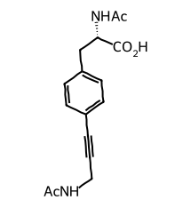 CC(=O)NCC#Cc1ccc(C[C@H](NC(C)=O)C(=O)O)cc1